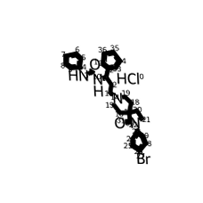 Cl.O=C(Nc1ccccc1)NC(CCN1CCC2(CC1)CCN(c1ccc(Br)cc1)C2=O)c1ccccc1